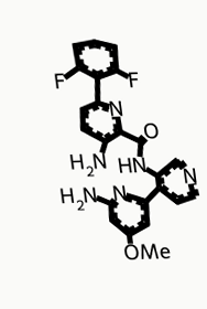 COc1cc(N)nc(-c2ccncc2NC(=O)c2nc(-c3c(F)cccc3F)ccc2N)c1